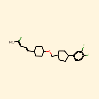 N#CC(F)=CC=CC1CCC(OCC2CCC(c3ccc(F)c(F)c3)CC2)CC1